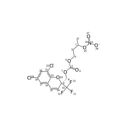 CC(CCOC(=O)OC[C@]1(C(F)(F)F)C=Cc2cc(Cl)cc(Cl)c2O1)O[N+](=O)[O-]